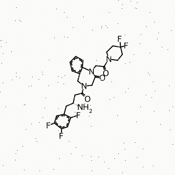 N[C@@H](CC(=O)N1CC(=O)N(CC(=O)N2CCC(F)(F)CC2)c2ccccc2C1)Cc1cc(F)c(F)cc1F